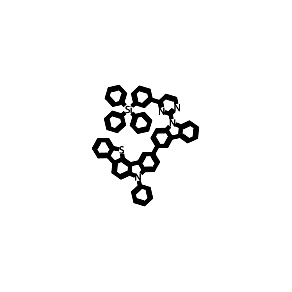 c1ccc(-n2c3ccc(-c4ccc5c(c4)c4ccccc4n5-c4nccc(-c5cccc([Si](c6ccccc6)(c6ccccc6)c6ccccc6)c5)n4)cc3c3c4sc5ccccc5c4ccc32)cc1